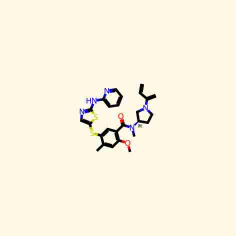 C=CC(=C)N1CC[C@@H](N(C)C(=O)c2cc(Sc3cnc(Nc4ccccn4)s3)c(C)cc2OC)C1